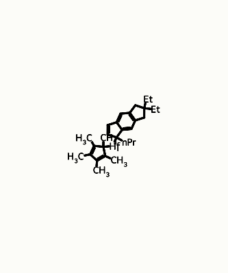 CCC[C]1([Hf][C]2(C)C(C)=C(C)C(C)=C2C)C=Cc2cc3c(cc21)CC(CC)(CC)C3